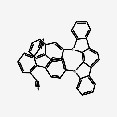 N#Cc1cccc(C#N)c1-c1ccc(-n2c3ccccc3c3ccc4c5ccccc5n(-c5ccc6ccccc6c5)c4c32)cc1